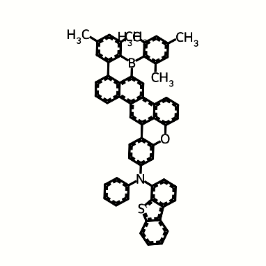 Cc1cc(C)c(B2c3c(C)cc(C)cc3-c3cccc4c3c2cc2c3cccc5c3c(cc42)-c2ccc(N(c3ccccc3)c3cccc4c3sc3ccccc34)cc2O5)c(C)c1